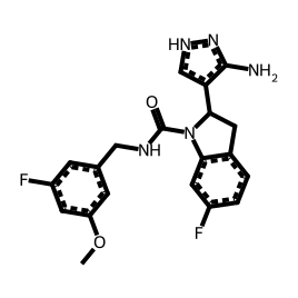 COc1cc(F)cc(CNC(=O)N2c3cc(F)ccc3CC2c2c[nH]nc2N)c1